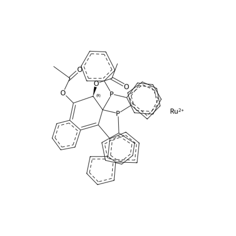 CC(=O)OC1=c2ccccc2=C(c2cccc3ccccc23)C(P(c2ccccc2)c2ccccc2)(P(c2ccccc2)c2ccccc2)[C@@H]1OC(C)=O.[Ru+2]